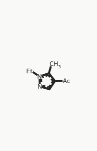 CCn1ncc(C(C)=O)c1C